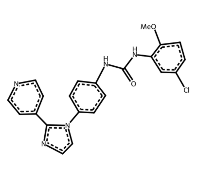 COc1ccc(Cl)cc1NC(=O)Nc1ccc(-n2ccnc2-c2ccncc2)cc1